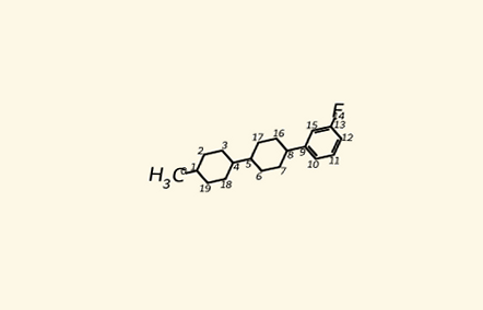 CC1CCC(C2CCC(c3cccc(F)c3)CC2)CC1